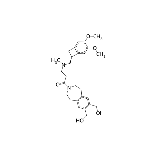 COc1cc2c(cc1OC)[C@@H](CN(C)CCC(=O)N1CCc3cc(CO)c(CO)cc3CC1)C2